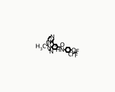 CC(C)n1cnc2cc(C(=O)Nc3ccc(OC(F)(F)Cl)cc3)cc(-c3cnccn3)c21